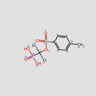 CCC(CC)(OS(=O)(=O)c1ccc(C)cc1)P(=O)(O)O